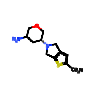 NC1COC[C@H](N2Cc3cc(C(=O)O)sc3C2)C1